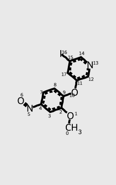 COc1cc(N=O)ccc1Oc1cncc(I)c1